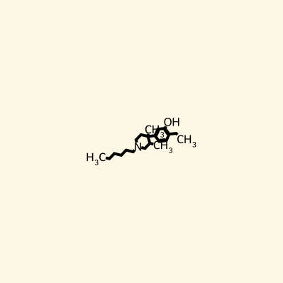 CCCCCCN1CCC(C)(c2ccc(CC)c(O)c2)C(C)C1